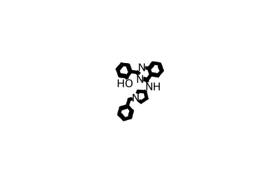 Oc1ccccc1-c1nc(NC2CCN(Cc3ccccc3)C2)c2ccccc2n1